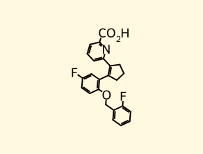 O=C(O)c1cccc(C2=C(c3cc(F)ccc3OCc3ccccc3F)CCC2)n1